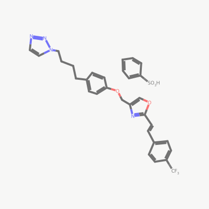 FC(F)(F)c1ccc(C=Cc2nc(COc3ccc(CCCCn4ccnn4)cc3)co2)cc1.O=S(=O)(O)c1ccccc1